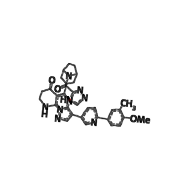 COc1ccc(-c2ccc(-c3cnn4c5c(c(C6CC7CCC(C6)N7C(=O)c6nnc[nH]6)nc34)C(=O)CCN5)cn2)cc1C